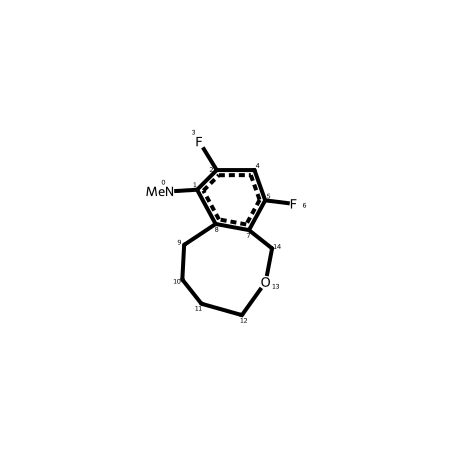 CNc1c(F)cc(F)c2c1CCCCOC2